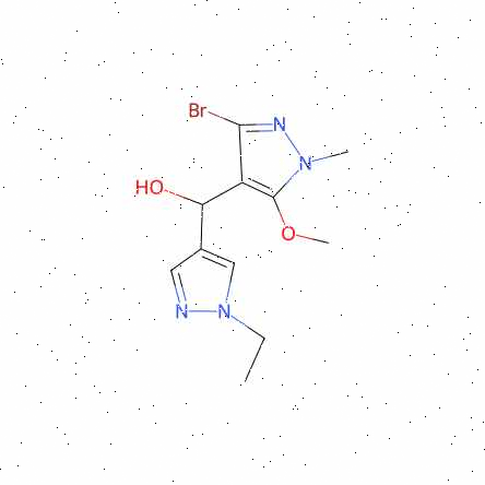 CCn1cc(C(O)c2c(Br)nn(C)c2OC)cn1